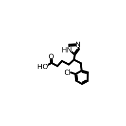 O=C(O)CCCC(Cc1ccccc1Cl)c1cnc[nH]1